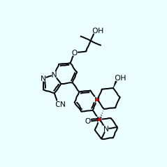 CC(C)(O)COc1cc(-c2ccc(N3CC4CC(C3)N4C(=O)[C@H]3CC[C@H](O)CC3)nc2)c2c(C#N)cnn2c1